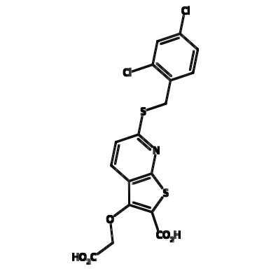 O=C(O)COc1c(C(=O)O)sc2nc(SCc3ccc(Cl)cc3Cl)ccc12